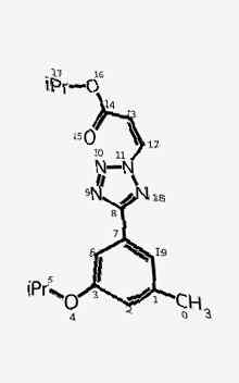 Cc1cc(OC(C)C)cc(-c2nnn(/C=C\C(=O)OC(C)C)n2)c1